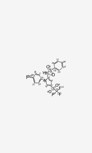 O=S(=O)(Nc1cc(S(=O)(=O)C(F)(F)F)cn1-c1ccc(F)cc1)c1ccccc1